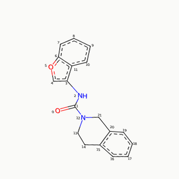 O=C(Nc1coc2ccccc12)N1CCc2ccccc2C1